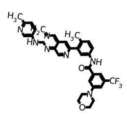 C=N/C=C1/C=C(c2cc(NC(=O)c3cc(N4CCOCC4)cc(C(F)(F)F)c3)ccc2C)N=C/C1=N/CNc1ccc(C)nc1